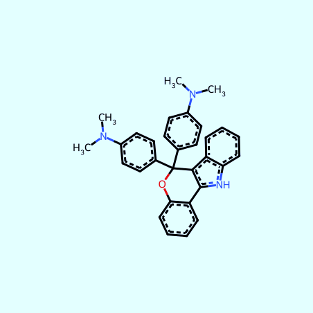 CN(C)c1ccc(C2(c3ccc(N(C)C)cc3)Oc3ccccc3-c3[nH]c4ccccc4c32)cc1